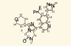 C[C@H]1C(=O)N(C)Cc2c(-c3ccnc4cc(-c5cnn(C)c5)c(C(F)F)cc34)nc(C3CCOCC3)n21